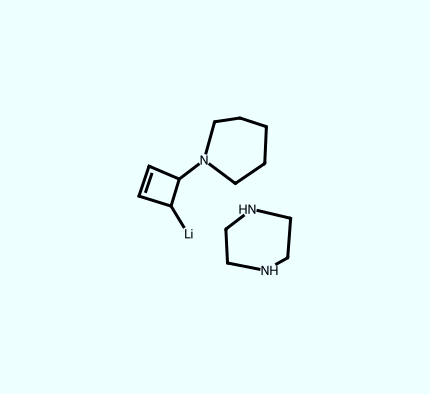 C1CNCCN1.[Li][CH]1C=CC1N1CCCCC1